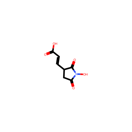 O=C(O)C=CC1CC(=O)N(O)C1=O